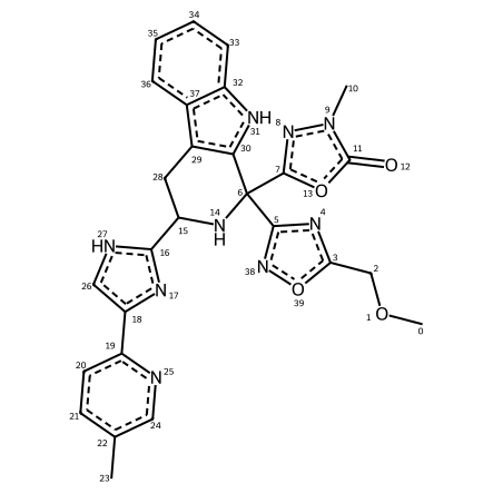 COCc1nc(C2(c3nn(C)c(=O)o3)NC(c3nc(-c4ccc(C)cn4)c[nH]3)Cc3c2[nH]c2ccccc32)no1